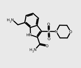 NCc1cccc2c(S(=O)(=O)N3CCOCC3)c(C(N)=O)[nH]c12